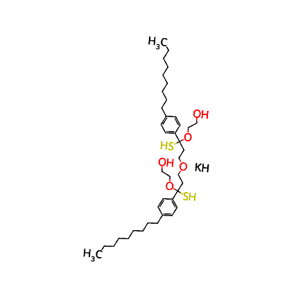 CCCCCCCCCc1ccc(C(S)(CCOCCC(S)(OCCO)c2ccc(CCCCCCCCC)cc2)OCCO)cc1.[KH]